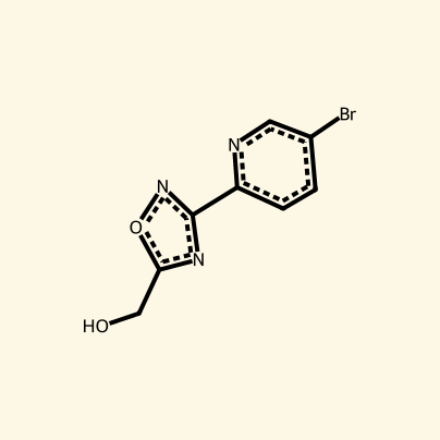 OCc1nc(-c2ccc(Br)cn2)no1